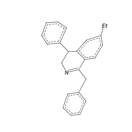 CCc1ccc2c(c1)C(c1ccccc1)CN=C2Cc1ccccc1